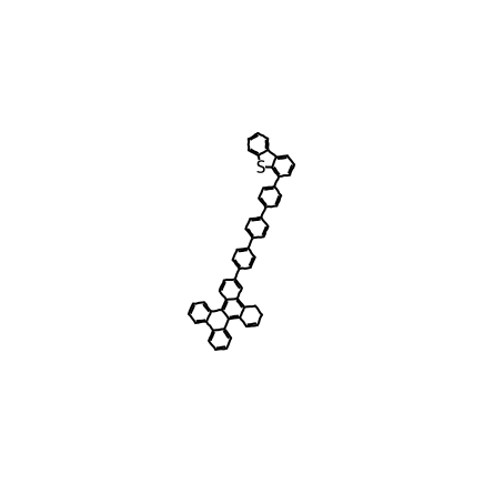 C1=Cc2c(c3cc(-c4ccc(-c5ccc(-c6ccc(-c7cccc8c7sc7ccccc78)cc6)cc5)cc4)ccc3c3c4ccccc4c4ccccc4c23)CC1